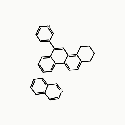 c1ccc2cnccc2c1.c1cncc(-c2cc3c4c(ccc3c3ccccc23)CCCC4)c1